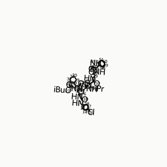 CCCC(NC(=O)C1CC(NC(=O)Nc2ccc(Cl)cc2)CN1C(=O)[C@H](NC(=O)OCC(C)C)C1CCCCC1)C(=O)C(=O)NCC(=O)N[C@@H](C(N)=O)c1ccccc1